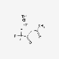 CC(=O)CC(=O)C(F)(F)F.[Cl-].[Cl-].[Ti+2]